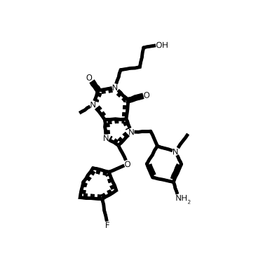 CN1C=C(N)C=CC1Cn1c(Oc2cccc(F)c2)nc2c1c(=O)n(CCCO)c(=O)n2C